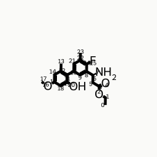 CCOC(=O)C[C@H](N)c1cc(-c2c(C)cc(OC)cc2O)cc(C)c1F